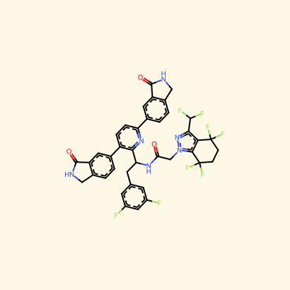 O=C(Cn1nc(C(F)F)c2c1C(F)(F)CCC2(F)F)NC(Cc1cc(F)cc(F)c1)c1nc(-c2ccc3c(c2)C(=O)NC3)ccc1-c1ccc2c(c1)C(=O)NC2